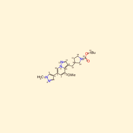 COc1cc(-c2cnn(C)c2)cn2ncc(CC3CCN(C(=O)OC(C)(C)C)C3)c12